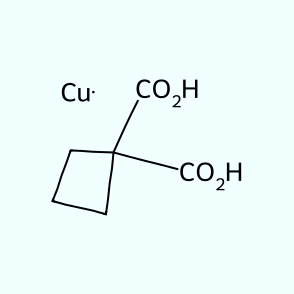 O=C(O)C1(C(=O)O)CCC1.[Cu]